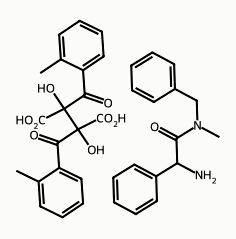 CN(Cc1ccccc1)C(=O)C(N)c1ccccc1.Cc1ccccc1C(=O)C(O)(C(=O)O)C(O)(C(=O)O)C(=O)c1ccccc1C